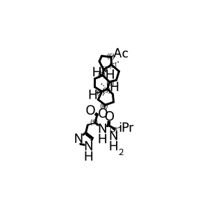 CC(=O)[C@H]1CC[C@H]2[C@@H]3CC[C@H]4C[C@H](OC(=O)[C@H](Cc5c[nH]cn5)NC(=O)[C@@H](N)C(C)C)CC[C@]4(C)[C@H]3CC[C@]12C